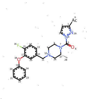 CC(=O)c1ccn(C(=O)N2CCN(Cc3ccc(F)c(Oc4ccccc4)c3)C[C@H]2C)n1